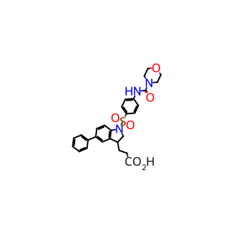 O=C(O)CCC1CN(S(=O)(=O)c2ccc(NC(=O)N3CCOCC3)cc2)c2ccc(-c3ccccc3)cc21